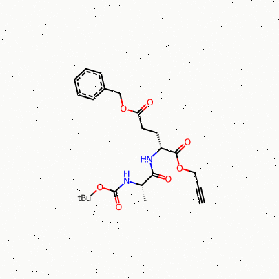 C#CCOC(=O)[C@@H](CCC(=O)OCc1ccccc1)NC(=O)[C@H](C)NC(=O)OC(C)(C)C